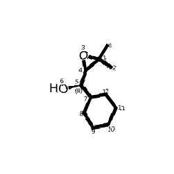 CC1(C)OC1[C@H](O)C1CCCCC1